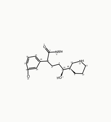 CNC(=O)C(CC[C@H](O)[C@@H]1CCCNC1)c1cccc(Cl)c1